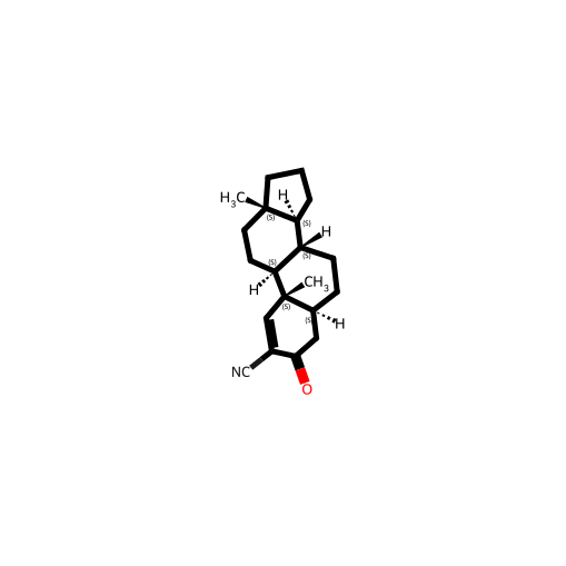 C[C@@]12CCC[C@H]1[C@@H]1CC[C@H]3CC(=O)C(C#N)=C[C@]3(C)[C@H]1CC2